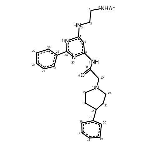 CC(=O)NCCNc1cc(NC(=O)CN2CCC(c3ccccc3)CC2)nc(-c2ccccc2)n1